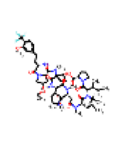 CCC[C@@H](C(=O)N([C@H](C(=O)N1CCC[C@H]1C(=O)O)[C@@H](C)CC)C(C)(C)C)N(C)C(=O)C[C@@H](C(=O)N(C)C)N(C)C(=O)[C@H](C1CCCC1)N(C)C(=O)C1(N(C)C(=O)[C@@H]2C[C@@H](OCC)CN2C(=O)[C@@H](N)CCc2ccc(C(F)(F)F)c(OC)c2)CCC1